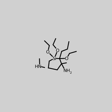 CCCC1(OCC)C(C)(N)CCC[Si]1(OCC)OCC.CNC